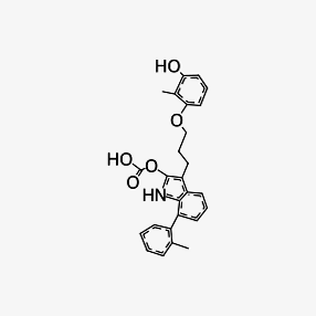 Cc1ccccc1-c1cccc2c(CCCOc3cccc(O)c3C)c(OC(=O)O)[nH]c12